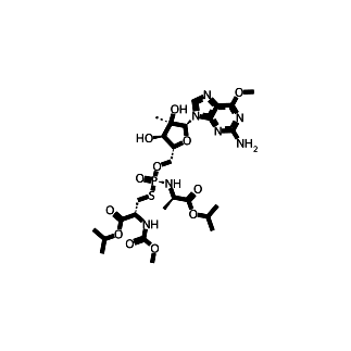 COC(=O)N[C@@H](CS[P@](=O)(N[C@H](C)C(=O)OC(C)C)OC[C@H]1O[C@@H](n2cnc3c(OC)nc(N)nc32)[C@](C)(O)[C@@H]1O)C(=O)OC(C)C